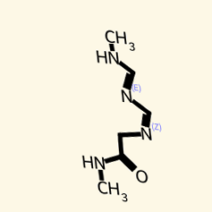 CN/C=N/C=N\CC(=O)NC